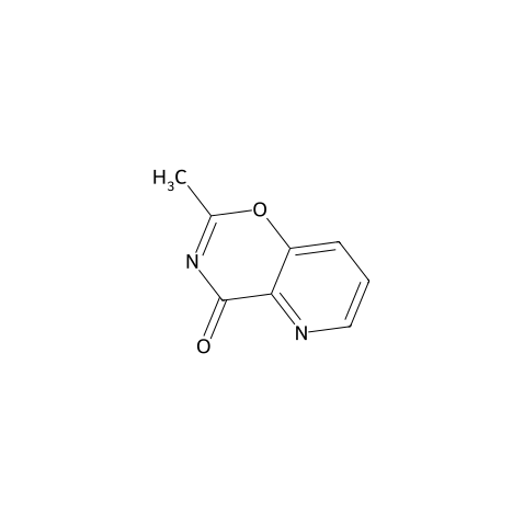 Cc1nc(=O)c2ncccc2o1